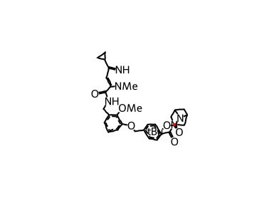 CN/C(=C\C(=N)C1CC1)C(=O)NCc1cccc(OCc2ccc(C(=O)N3CC4CC(C3)N4C(=O)OC(C)(C)C)cc2)c1OC